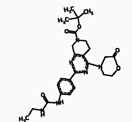 CCNC(=O)Nc1ccc(-c2nc3c(c(N4CCOC(=O)C4)n2)CCN(C(=O)OC(C)(C)C)C3)cc1